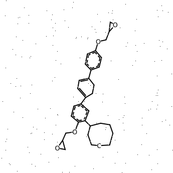 C1=C(c2ccc(OCC3CO3)cc2)CCC(c2ccc(OCC3CO3)c(C3CCCCCCC3)c2)=C1